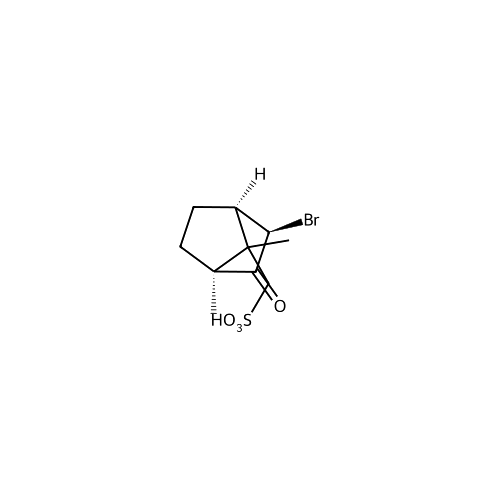 CC1(CS(=O)(=O)O)[C@H]2CC[C@]1(C)C(=O)[C@@H]2Br